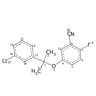 CC(C)(Oc1ccc(F)c(C#N)c1)c1cccc(Cl)c1